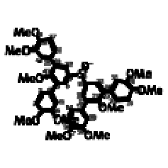 COc1ccc(-c2cc([S+]([O-])c3cc(-c4ccc(OC)c(OC)c4)c(OC)c(-c4ccc(OC)c(OC)c4)c3)cc(-c3ccc(OC)c(OC)c3)c2OC)cc1OC